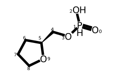 O=[PH](O)OC[C@@H]1CCCO1